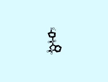 O=[N+]([O-])c1ccc(S(=O)(=O)C2CS(=O)(=O)c3ccccc32)cc1